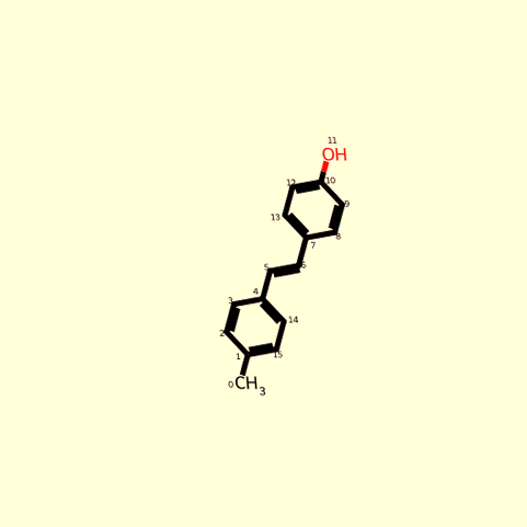 Cc1ccc(C=Cc2ccc(O)cc2)cc1